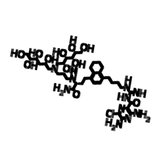 N=C(NCCCCc1ccc(CC[C@H](NCCCN(C[C@H](O)C[C@H](O)[C@H](O)CO)C[C@H](O)[C@@H](O)[C@H](O)[C@H](O)CO)C(N)=O)c2c1CCCC2)NC(=O)c1nc(Cl)c(N)nc1N